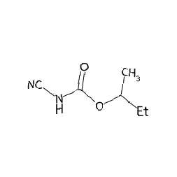 CCC(C)OC(=O)NC#N